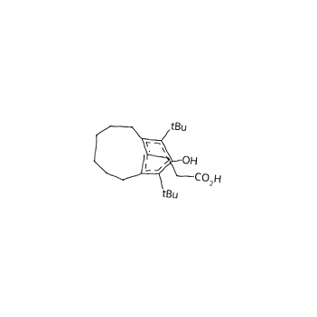 CC(C)(C)c1c(O)c(C(C)(C)C)c2c(CCC(=O)O)c1CCCCCC2